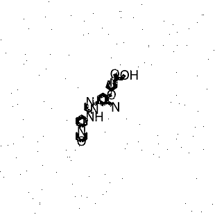 N#Cc1cc(-c2nccc(Nc3cccc(N4CCOCC4)c3)n2)ccc1O[C@@H]1CCN(C(=O)CO)C1